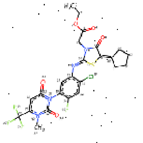 CCOC(=O)CN1C(=O)C(=C2CCCC2)SC1=Nc1cc(-n2c(=O)cc(C(F)(F)F)n(C)c2=O)c(F)cc1Cl